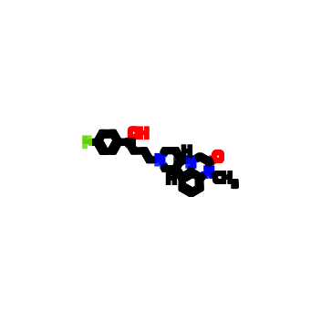 CN1C(=O)CN2c3c(cccc31)[C@@H]1CN(CCC[C@@H](O)c3ccc(F)cc3)CC[C@@H]12